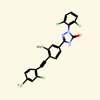 COc1cc(-c2nn(-c3c(Cl)cccc3Cl)c(=O)[nH]2)ccc1C#Cc1ccc(C(F)(F)F)cc1Cl